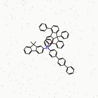 CC1(C)c2ccccc2-c2ccc(N(c3ccc(-c4ccc(-c5ccccc5)cc4)cc3)c3ccc4c(c3)C(c3ccccc3)(c3ccccc3-c3ccccc3)c3cccc(-c5ccccc5)c3-4)cc21